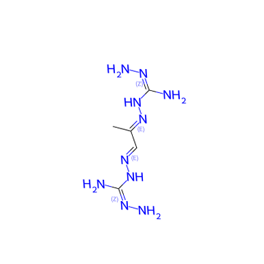 CC(/C=N/N/C(N)=N\N)=N\N/C(N)=N\N